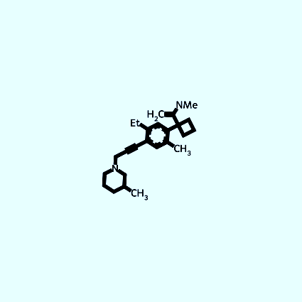 C=C(NC)C1(c2cc(CC)c(C#CCN3CCCC(C)C3)cc2C)CCC1